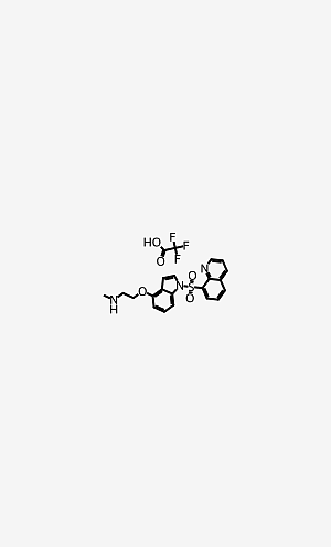 CNCCOc1cccc2c1ccn2S(=O)(=O)c1cccc2cccnc12.O=C(O)C(F)(F)F